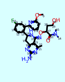 COc1cccc(-c2cc(F)ccc2C2Cc3nc(N)nc(C)c3C(=NOC(CCO)C(=O)N(C)C)N2)n1